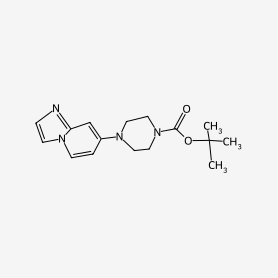 CC(C)(C)OC(=O)N1CCN(c2ccn3ccnc3c2)CC1